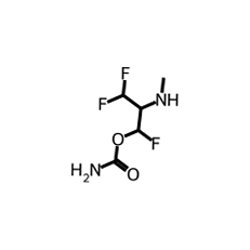 CNC(C(F)F)C(F)OC(N)=O